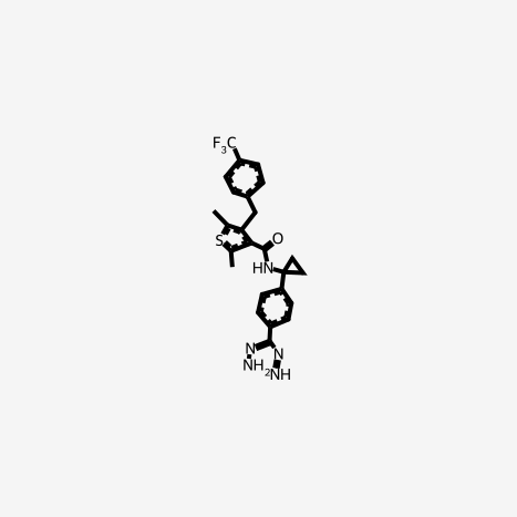 Cc1sc(C)c(C(=O)NC2(c3ccc(/C(N=N)=N/N)cc3)CC2)c1Cc1ccc(C(F)(F)F)cc1